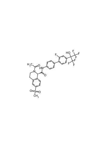 CC(=O)N1CCc2cc(S(C)(=O)=O)ccc2[C@@H]1C(=O)Nc1ccc(-c2ccc(C(O)(C(F)(F)F)C(F)(F)F)cc2F)cc1